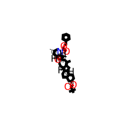 CC1=C2C[C@H]3C(CC=C4C[C@@H](OC(=O)C(C)(C)C)CC[C@@]43C)[C@@H]2CC[C@@]2(C1)O[C@@H]1C[C@H](C)CN(C(=O)OCc3ccccc3)[C@H]1[C@H]2C